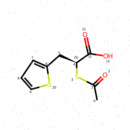 CC(=O)S[C@@H](Cc1cccs1)C(=O)O